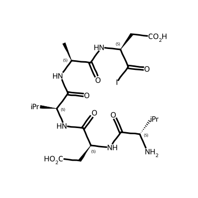 CC(C)[C@H](N)C(=O)N[C@@H](CC(=O)O)C(=O)N[C@H](C(=O)N[C@@H](C)C(=O)N[C@@H](CC(=O)O)C(=O)I)C(C)C